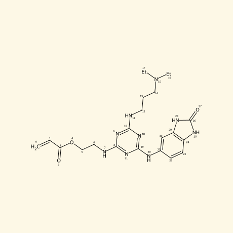 C=CC(=O)OCCNc1nc(NCCCN(CC)CC)nc(Nc2ccc3[nH]c(=O)[nH]c3c2)n1